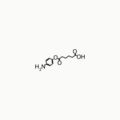 Nc1ccc(OC(=O)CCCCC(=O)O)cc1